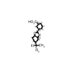 CCC(C)(C)c1ccc2oc(-c3cccc(C(=O)O)c3)nc2c1